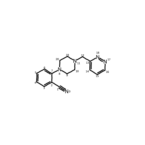 N#Cc1ccccc1N1CCN(Cc2cccnn2)CC1